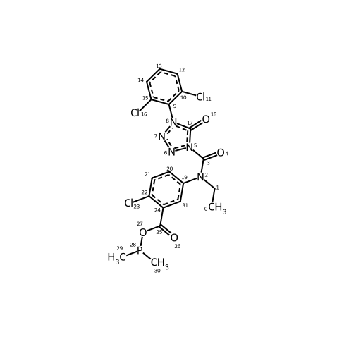 CCN(C(=O)n1nnn(-c2c(Cl)cccc2Cl)c1=O)c1ccc(Cl)c(C(=O)OP(C)C)c1